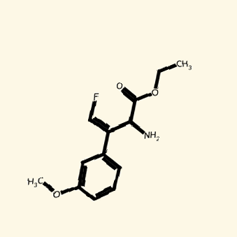 CCOC(=O)C(N)C(=CF)c1cccc(OC)c1